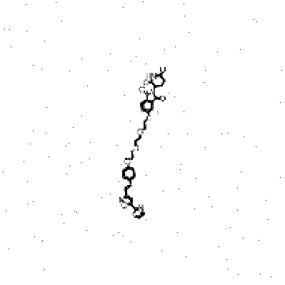 O=C1CCC(N2C(=O)c3ccc(OCCOCCOCCOc4ccc(/C=C/c5cc(-c6nccs6)on5)cc4)cc3C2=O)C(=O)N1